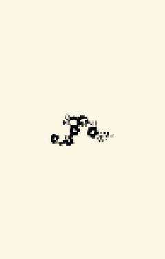 COc1ccc(Nc2ncc3c(n2)-c2ccc(-c4ccc(CN5CCCC5)s4)cc2NC(=O)C3)cc1OC